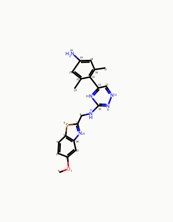 COc1ccc2sc(CNc3nncc(-c4c(C)cc(N)cc4C)n3)nc2c1